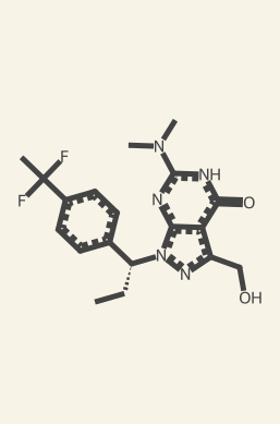 CC[C@H](c1ccc(C(C)(F)F)cc1)n1nc(CO)c2c(=O)[nH]c(N(C)C)nc21